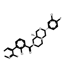 C/C=C(\C(F)=N/C)c1cccc(C(=O)N2CCN3C[C@@H](c4ccc(F)c(Cl)c4)OC[C@@H]3C2)c1Cl